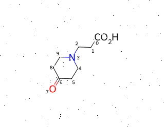 O=C(O)CCN1CCC(=O)CC1